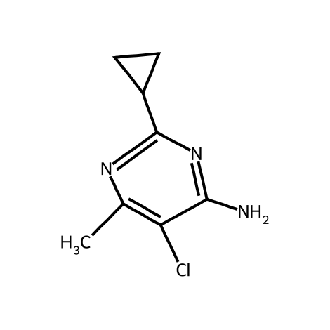 Cc1nc(C2CC2)nc(N)c1Cl